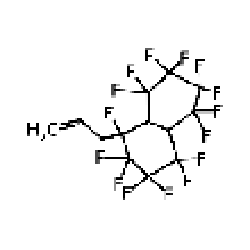 C=CCC1(F)C2C(C(F)(F)C(F)(F)C(F)(F)C2(F)F)C(F)(F)C(F)(F)C1(F)F